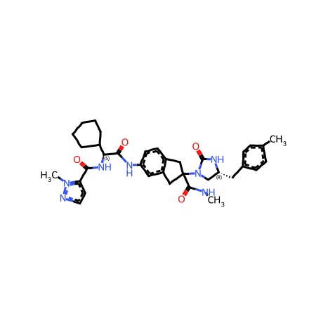 CNC(=O)C1(N2C[C@@H](Cc3ccc(C)cc3)NC2=O)Cc2ccc(NC(=O)[C@@H](NC(=O)c3ccnn3C)C3CCCCC3)cc2C1